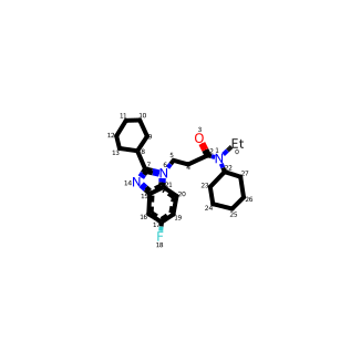 CCN(C(=O)CCn1c(C2CCCCC2)nc2cc(F)ccc21)C1CCCCC1